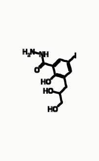 NNC(=O)c1cc(I)cc(CC(O)CO)c1O